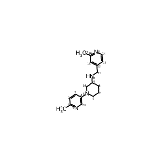 Cc1ccc(N2CCCC(NCc3ccnc(C)c3)C2)cn1